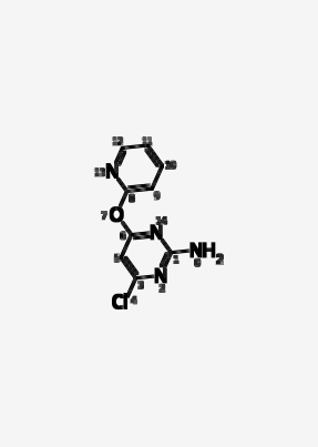 Nc1nc(Cl)cc(Oc2ccccn2)n1